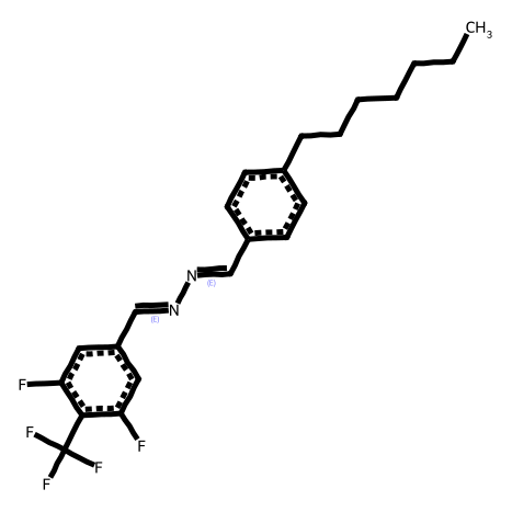 CCCCCCCc1ccc(/C=N/N=C/c2cc(F)c(C(F)(F)F)c(F)c2)cc1